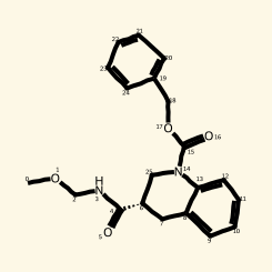 COCNC(=O)[C@H]1Cc2ccccc2N(C(=O)OCc2ccccc2)C1